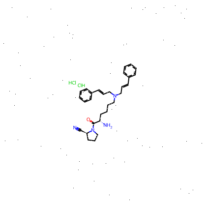 Cl.Cl.N#C[C@@H]1CCCN1C(=O)[C@@H](N)CCCCN(CC=Cc1ccccc1)CC=Cc1ccccc1